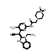 CCN1C(=C(C#N)c2nc(NC(=O)CN3CCS(=O)(=O)CC3)ncc2C)Nc2ccccc21